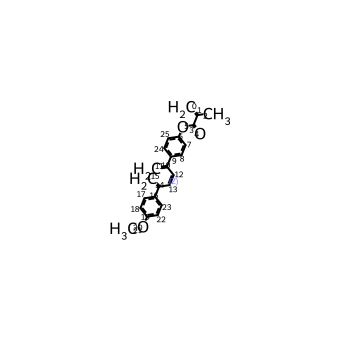 C=C(C)C(=O)Oc1ccc(C(=C)/C=C\C(=C)c2ccc(OC)cc2)cc1